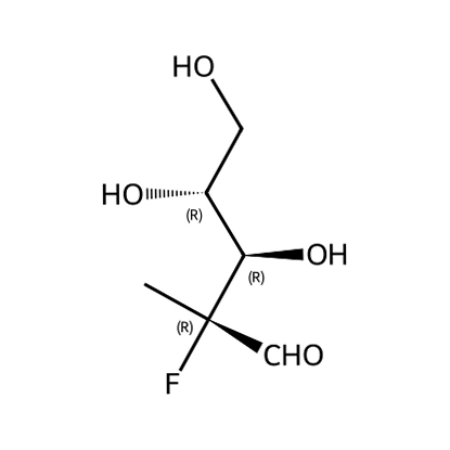 C[C@](F)(C=O)[C@H](O)[C@H](O)CO